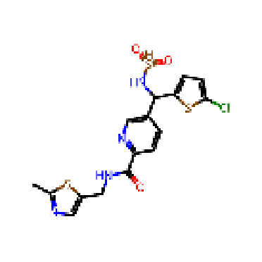 Cc1ncc(CNC(=O)c2ccc(C(N[SH](=O)=O)c3ccc(Cl)s3)cn2)s1